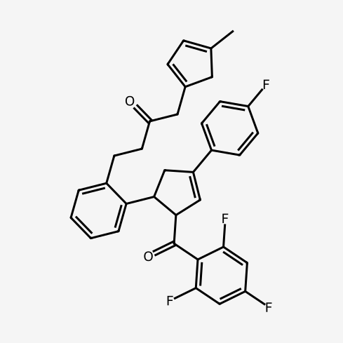 CC1=CC=C(CC(=O)CCc2ccccc2C2CC(c3ccc(F)cc3)=CC2C(=O)c2c(F)cc(F)cc2F)C1